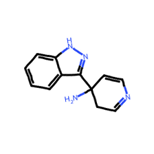 NC1(c2n[nH]c3ccccc23)C=CN=CC1